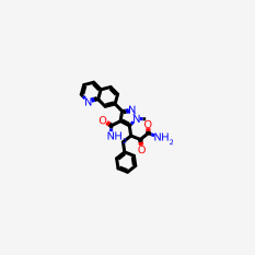 Cn1nc(-c2ccc3cccnc3c2)c(C(N)=O)c1C(Cc1ccccc1)C(=O)C(N)=O